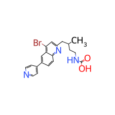 CC(CCNC(=O)O)Cc1cc(Br)c2cc(-c3ccncc3)ccc2n1